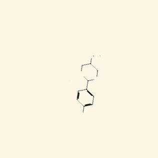 CCCCCC1COC(c2ccc(C(=O)O)cc2)OC1.Cl